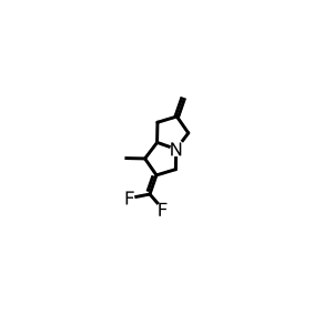 C=C1CC2C(C)C(=C(F)F)CN2C1